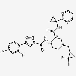 O=C(N[C@H]1CCN(CC2CC2(F)F)C[C@@H]1C(=O)NC1(c2ncccn2)CC1)c1cc(-c2ccc(F)cc2F)on1